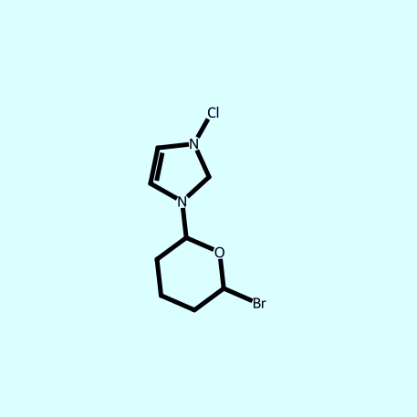 ClN1C=CN(C2CCCC(Br)O2)C1